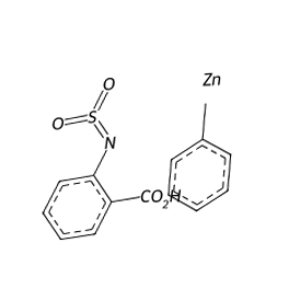 Cc1ccccc1.O=C(O)c1ccccc1N=S(=O)=O.[Zn]